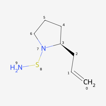 C=CC[C@@H]1CCCN1SN